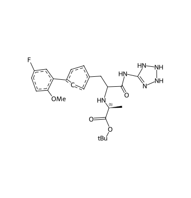 COc1ccc(F)cc1-c1ccc(CC(N[C@@H](C)C(=O)OC(C)(C)C)C(=O)NC2=NNNN2)cc1